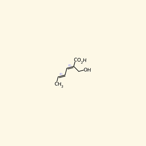 C/C=C/C=C(\CO)C(=O)O